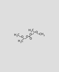 CCOC(C)COC(=O)OCC(C)OCC